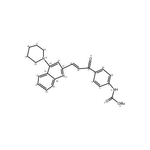 CC(C)COC(=O)Nc1ccc(C(=O)C=Cc2cc(N3CCCCC3)c3ccccc3n2)cc1